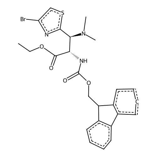 CCOC(=O)[C@@H](NC(=O)OCC1c2ccccc2-c2ccccc21)[C@@H](c1nc(Br)cs1)N(C)C